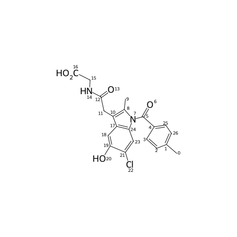 Cc1ccc(C(=O)n2c(C)c(CC(=O)NCC(=O)O)c3cc(O)c(Cl)cc32)cc1